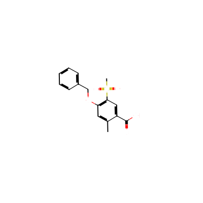 Cc1cc(OCc2ccccc2)c(S(C)(=O)=O)cc1C(=O)O